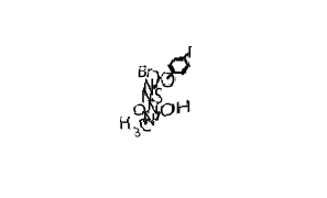 CN1CC(O)N(c2nnc(C(CBr)Oc3ccc(I)cc3)s2)C1=O